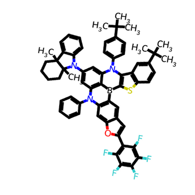 CC(C)(C)c1ccc(N2c3cc(N4c5ccccc5C5(C)CCCCC45C)cc4c3B(c3cc5cc(-c6c(F)c(F)c(F)c(F)c6F)oc5cc3N4c3ccccc3)c3sc4ccc(C(C)(C)C)cc4c32)cc1